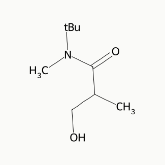 CC(CO)C(=O)N(C)C(C)(C)C